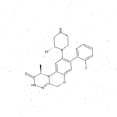 CC[C@@H]1CNCCN1c1cc2c(cc1-c1ccccc1F)OCC1=NNC(=O)[C@@H](C)N12